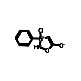 [O-]C1=C[N+](Cl)(c2ccccc2)NO1